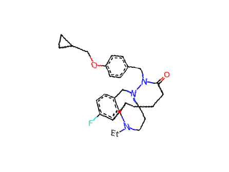 CCN1CCC2(CCC(=O)N(Cc3ccc(OCC4CC4)cc3)N2Cc2ccc(F)cc2)CC1